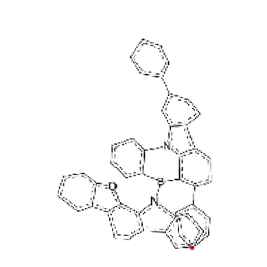 c1ccc(-c2ccc3c4ccc(-c5ccccc5)c5c4n(c3c2)-c2ccccc2B5n2c3ccccc3c3ccc4c5ccccc5oc4c32)cc1